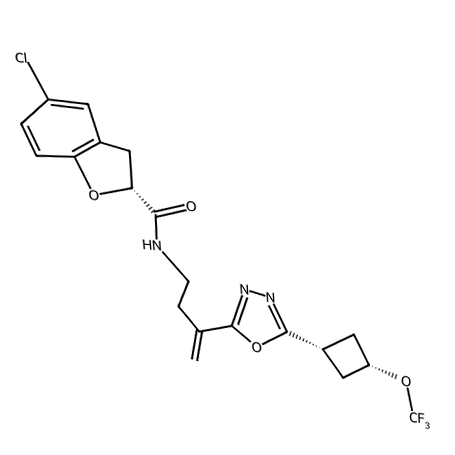 C=C(CCNC(=O)[C@H]1Cc2cc(Cl)ccc2O1)c1nnc([C@H]2C[C@@H](OC(F)(F)F)C2)o1